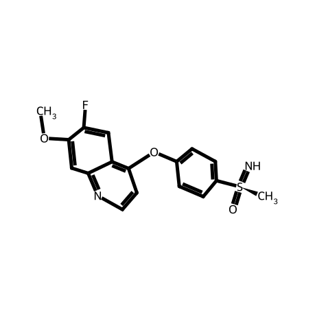 COc1cc2nccc(Oc3ccc([S@](C)(=N)=O)cc3)c2cc1F